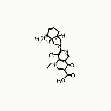 CCn1cc(C(=O)O)c(=O)c2cnc(N3C[C@H]4CC=C[C@@H](N)[C@H]4C3)c(Cl)c21